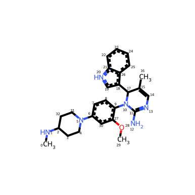 CNC1CCN(c2ccc(N3C(N)=NC=C(C)C3c3c[nH]c4ccccc34)c(OC)c2)CC1